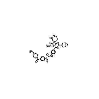 CNC(=O)C1(c2nc(-c3ccc(NC(=O)Nc4ccc(C(=O)N5CCN(C(C)C)CC5)cc4)cc3)nc(N3CCOCC3)n2)CCCN(I)NC1